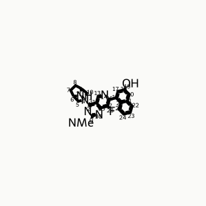 CNc1nc(N2CC3CCC(C2)N3)c2cnc(-c3cc(O)cc4ccccc34)c(F)c2n1